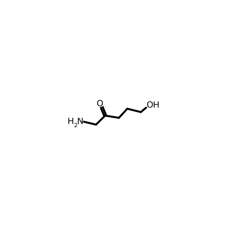 NCC(=O)CCCO